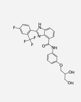 O=C(Nc1cccc(OCC(O)CO)c1)c1cccc2[nH]c(-c3ccc(F)cc3C(F)(F)F)nc12